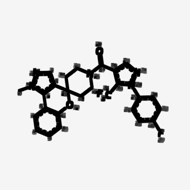 Cn1ncc2c1-c1ccccc1OC21CCN(C(=O)c2cnn(-c3ccc(F)cc3)c2C(F)(F)F)CC1